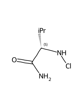 CC(C)[C@H](NCl)C(N)=O